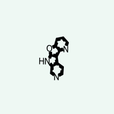 c1cnc2c(c1)oc1[nH]c3cnccc3c12